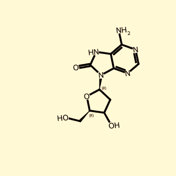 Nc1ncnc2c1[nH]c(=O)n2[C@H]1CC(O)[C@@H](CO)O1